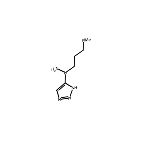 CNCCCN(N)c1cnn[nH]1